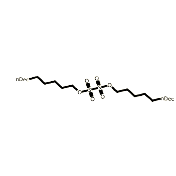 CCCCCCCCCCCCCCCOS(=O)(=O)S(=O)(=O)OCCCCCCCCCCCCCCC